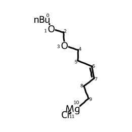 CCCCOCOCC/C=C\C[CH2][Mg][Cl]